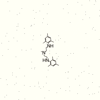 Cc1cc(C)c(NCCN(C)CCNc2c(C)cc(C)cc2C)c(C)c1